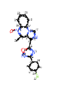 Cc1c2c(-c3nc(-c4ccc(F)cc4)no3)ncn2c2ccccc2[n+]1[O-]